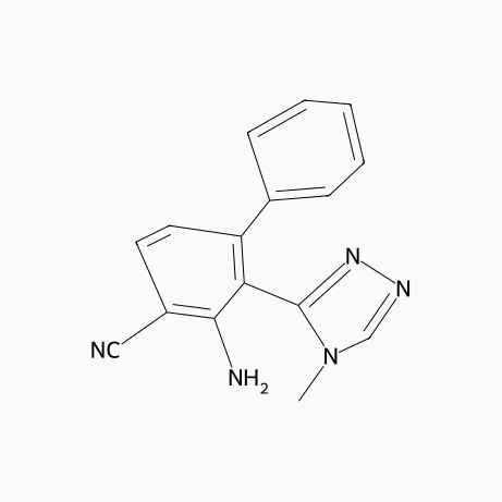 Cn1cnnc1-c1c(-c2ccccc2)ccc(C#N)c1N